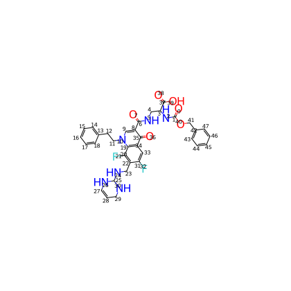 O=C(NC(CNC(=O)c1cn(CCc2ccccc2)c2c(F)c(CNC3NC=CCN3)c(F)cc2c1=O)C(=O)O)OCc1ccccc1